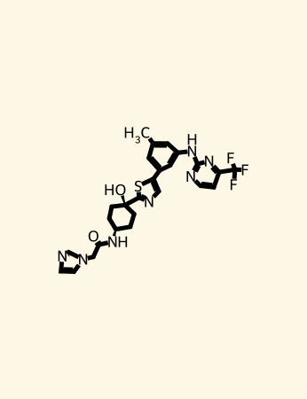 Cc1cc(Nc2nccc(C(F)(F)F)n2)cc(-c2cnc([C@]3(O)CC[C@@H](NC(=O)Cn4ccnc4)CC3)s2)c1